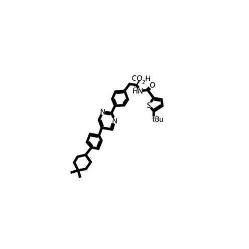 CC1(C)CCC(c2ccc(-c3cnc(-c4ccc(C[C@H](NC(=O)c5ccc(C(C)(C)C)s5)C(=O)O)cc4)nc3)cc2)CC1